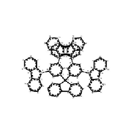 c1ccc2c(c1)-c1ccccc1C2(c1cc(-n2c3cccnc3c3ncccc32)cc(-n2c3cccnc3c3ncccc32)c1)c1cc(-n2c3cccnc3c3ncccc32)cc(-n2c3cccnc3c3ncccc32)c1